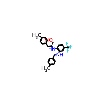 Cc1ccc(CNc2cc(C(F)(F)F)ccc2N[C@H](CO)Cc2ccc(C)cc2)cc1